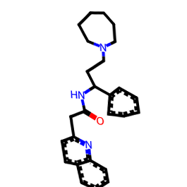 O=C(Cc1ccc2ccccc2n1)NC(CCN1CCCCCC1)c1ccccc1